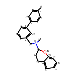 Cc1ccc(-c2cccc(CN(C)C3CCc4ccccc4O3)c2)cc1